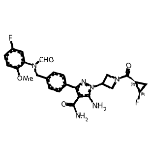 COc1ccc(F)cc1N(C=O)Cc1ccc(-c2nn(C3CN(C(=O)[C@H]4C[C@H]4F)C3)c(N)c2C(N)=O)cc1